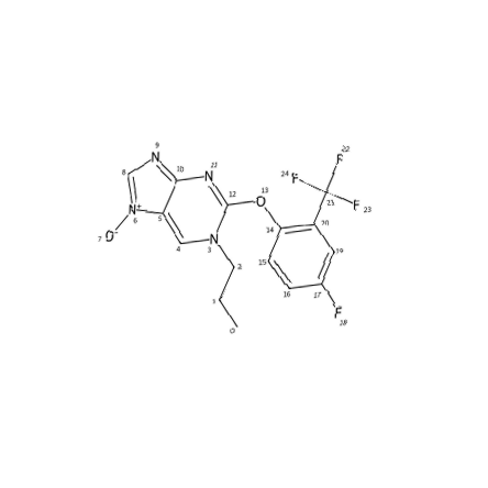 CCCn1cc2[n+]([O-])cnc-2nc1Oc1ccc(F)cc1C(F)(F)F